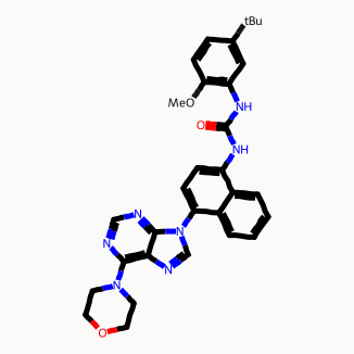 COc1ccc(C(C)(C)C)cc1NC(=O)Nc1ccc(-n2cnc3c(N4CCOCC4)ncnc32)c2ccccc12